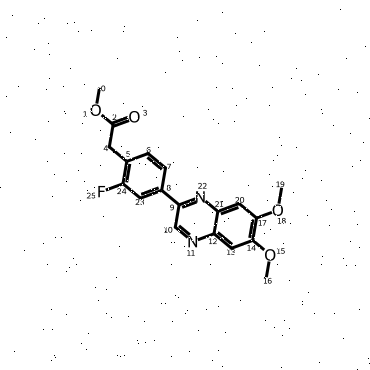 COC(=O)Cc1ccc(-c2cnc3cc(OC)c(OC)cc3n2)cc1F